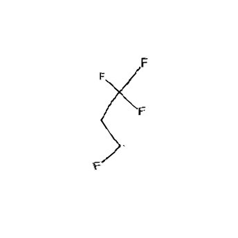 F[CH]CC(F)(F)F